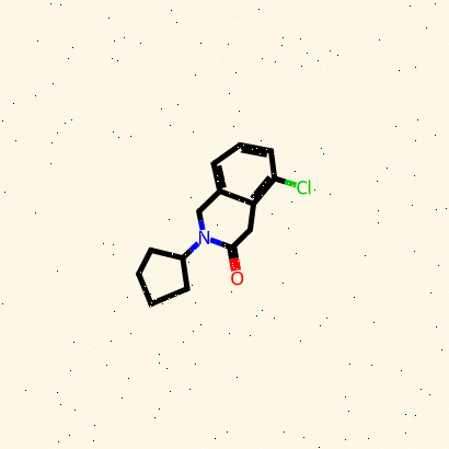 O=C1Cc2c(Cl)cccc2CN1C1CCCC1